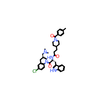 Cc1ccc(C(=O)N2CCC(CCC(=O)N[C@H](Cc3c[nH]c4ccccc34)C(=O)N3C[C@H](CN(C)C)Cc4cc(Cl)ccc43)CC2)cc1